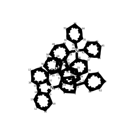 c1ccc(-c2ccc(-n3c4ccccc4c4cccc(-n5c6ccccc6c6c([Si](c7ccccc7)(c7ccccc7)c7ccccc7)cccc65)c43)c(-c3ccccc3)c2)cc1